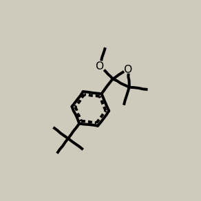 COC1(c2ccc(C(C)(C)C)cc2)OC1(C)C